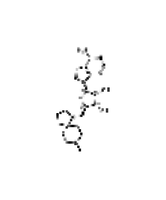 CN1CCC2(CCCN2C[C@H]2O[C@@H](n3ccc4c(N)nccc43)[C@H](O)[C@@H]2O)CC1